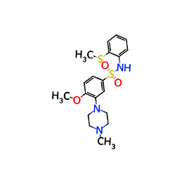 COc1ccc(S(=O)(=O)Nc2ccccc2SC)cc1N1CCN(C)CC1